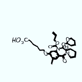 C=CCOC(=O)N1c2cc(OCCCCCC(=O)O)c(C)cc2C(=O)N2CCCC[C@H]2C1OC1CCCCO1